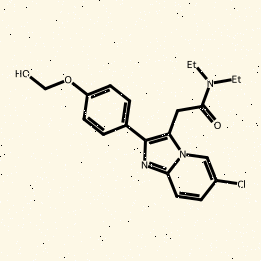 CCN(CC)C(=O)Cc1c(-c2ccc(OCO)cc2)nc2ccc(Cl)cn12